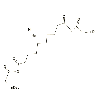 CCCCCCCCCCCC(=O)OC(=O)CCCCCCCCC(=O)OC(=O)CCCCCCCCCCC.[Na].[Na]